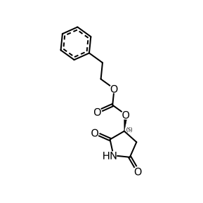 O=C1C[C@H](OC(=O)OCCc2ccccc2)C(=O)N1